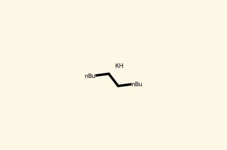 [CH2]CCCCCCCCC.[KH]